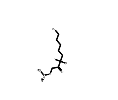 CC(C)CCCCCC(F)(F)C(=O)CO[PH](=O)O